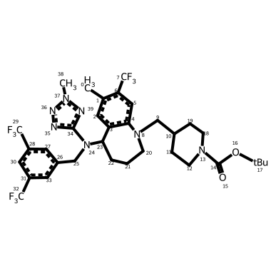 Cc1cc2c(cc1C(F)(F)F)N(CC1CCN(C(=O)OC(C)(C)C)CC1)CCCC2N(Cc1cc(C(F)(F)F)cc(C(F)(F)F)c1)c1nnn(C)n1